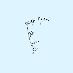 [Cr+3].[Cr+3].[Cr].[O-2].[O-2].[O-2]